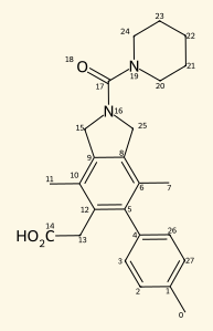 Cc1ccc(-c2c(C)c3c(c(C)c2CC(=O)O)CN(C(=O)N2CCCCC2)C3)cc1